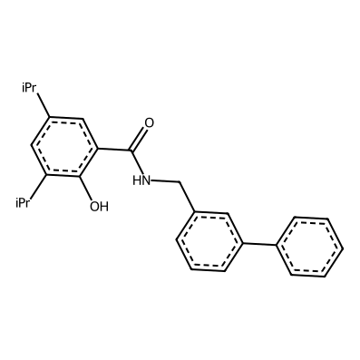 CC(C)c1cc(C(=O)NCc2cccc(-c3ccccc3)c2)c(O)c(C(C)C)c1